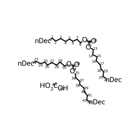 CCCCCCCCCCCCCCCCCCOC(=O)OCCCCCCCCCCCCCCCCCC.CCCCCCCCCCCCCCCCCCOC(=O)OCCCCCCCCCCCCCCCCCC.O=C(O)O